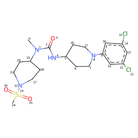 CN(C(=O)NC1CCN(c2cc(Cl)cc(Cl)c2)CC1)C1CCN(S(C)(=O)=O)CC1